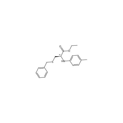 CCOC(=O)[C@H](CSCc1ccccc1)Nc1ccc(C)cc1